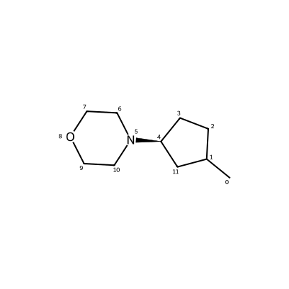 CC1CC[C@H](N2CCOCC2)C1